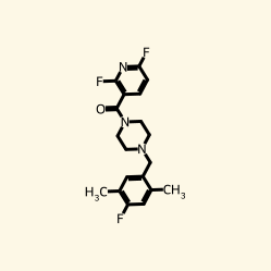 Cc1cc(CN2CCN(C(=O)c3ccc(F)nc3F)CC2)c(C)cc1F